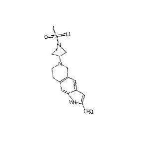 CS(=O)(=O)N1CC(N2CCc3cc4[nH]c(C=O)cc4cc3C2)C1